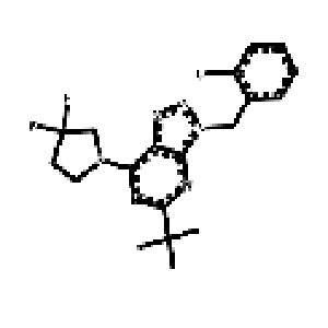 CC(C)(C)c1nc(N2CCC(F)(F)C2)c2nnn(Cc3ccccc3Cl)c2n1